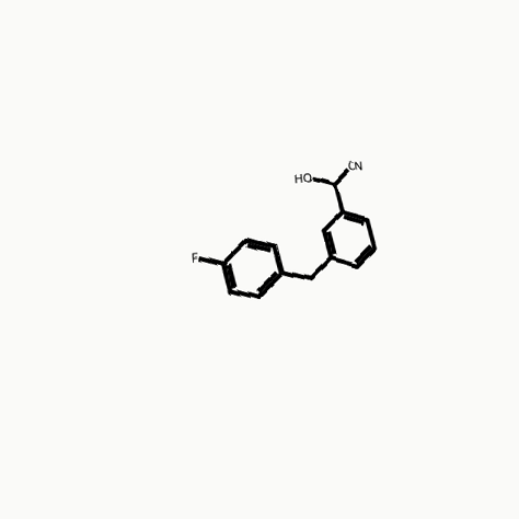 N#CC(O)c1cccc(Cc2ccc(F)cc2)c1